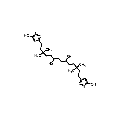 CC(C)(CCc1cc(O)no1)CCC(S)CCC(S)CCC(C)(C)CCc1cc(O)no1